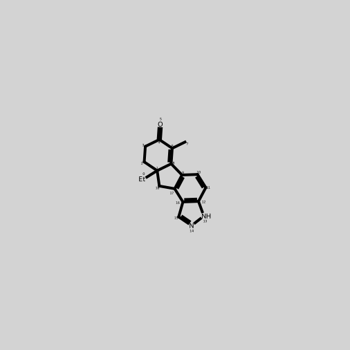 CCC12CCC(=O)C(C)=C1c1ccc3[nH]ncc3c1C2